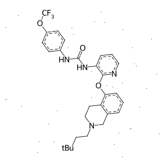 CC(C)(C)CCN1CCc2c(cccc2Oc2ncccc2NC(=O)Nc2ccc(OC(F)(F)F)cc2)C1